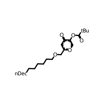 CCCCCCCCCCCCCCCCOCc1cc(=O)c(OC(=O)C(C)(C)C)co1